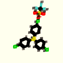 Clc1ccc([S+](c2ccc(Cl)cc2)c2ccc(Cl)cc2)cc1.O=S(=O)([O-])C(F)(F)F